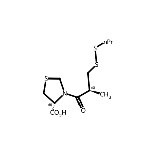 CCCSSC[C@@H](C)C(=O)N1CSC[C@H]1C(=O)O